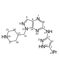 CC(C)c1cc(Nc2cnc3cnn(CC4CCNCC4)c3n2)n[nH]1